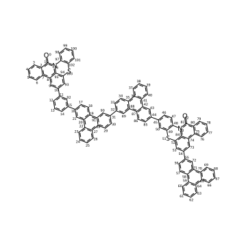 O=c1c2ccccc2c2cc(-c3cccc(-c4ccc5c(c4)c4ccccc4c4ccc(-c6ccc7c8ccccc8c8cc(-c9ccc%10c(c9)Sc9cc(-c%11ccc%12c%13ccccc%13c%13ccccc%13c%12c%11)cc%11c%12ccccc%12c(=O)n-%10c9%11)ccc8c7c6)cc45)c3)cc3c2n1-c1ccccc1S3